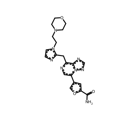 NC(=O)c1cc(-c2cnc(Cc3nccn3CCN3CCOCC3)c3ncnn23)co1